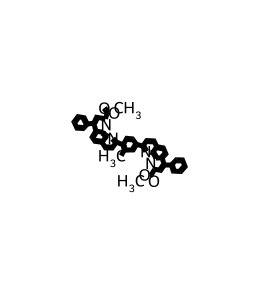 COC(=O)c1cc(-c2ccccc2)c2ccc3ccc(-c4ccc(-c5ccc6ccc7c(-c8ccccc8)cc(C(=O)OC)nc7c6n5)c(C)c4)nc3c2n1